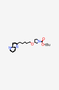 CC(C)(C)OC(=O)N1CC[C@@H](OCCCCCc2ccc3ncccc3n2)C1